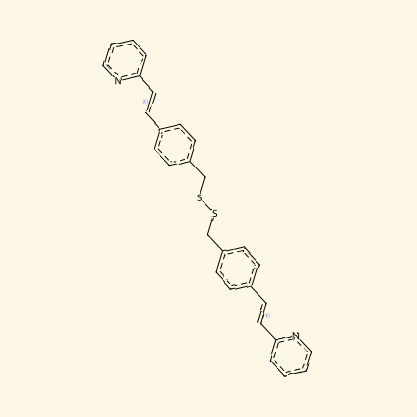 C(=C\c1ccccn1)/c1ccc(CSSCc2ccc(/C=C/c3ccccn3)cc2)cc1